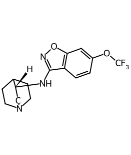 FC(F)(F)Oc1ccc2c(N[C@@H]3CN4CCC3CC4)noc2c1